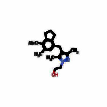 COc1c(C)cc(Cc2c(C)nn(CCO)c2C)c2c1CCC2